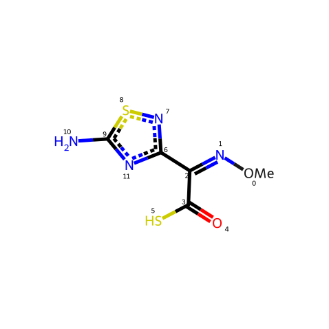 CON=C(C(=O)S)c1nsc(N)n1